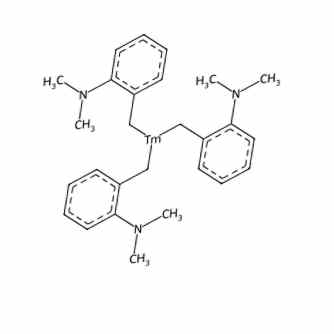 CN(C)c1ccccc1[CH2][Tm]([CH2]c1ccccc1N(C)C)[CH2]c1ccccc1N(C)C